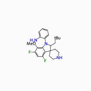 COc1c(F)cc(F)c2c1N(c1ccccc1N)C(CC(C)(C)C)C21CCNCC1